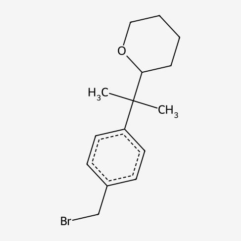 CC(C)(c1ccc(CBr)cc1)C1CCCCO1